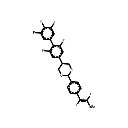 CCCC/C(F)=C(\F)c1ccc(C2OCC(c3cc(F)c(-c4cc(F)c(F)c(F)c4)c(F)c3)CO2)cc1